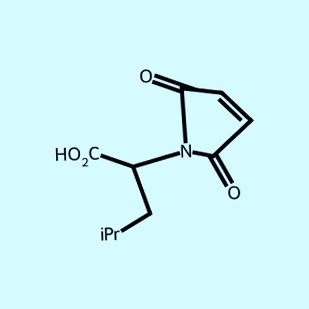 CC(C)CC(C(=O)O)N1C(=O)C=CC1=O